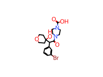 O=C(O)N1CCN(C(=O)C(c2cccc(Br)c2)C2(O)CCOCC2)CC1